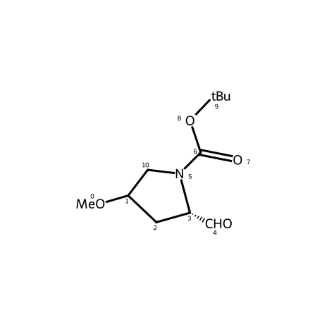 COC1C[C@@H](C=O)N(C(=O)OC(C)(C)C)C1